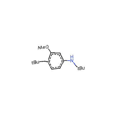 COc1cc(NC(C)(C)C)ccc1C(C)(C)C